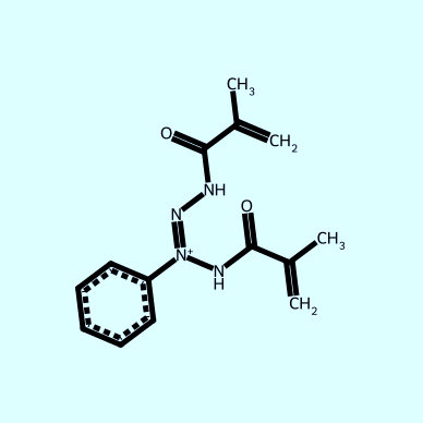 C=C(C)C(=O)NN=[N+](NC(=O)C(=C)C)c1ccccc1